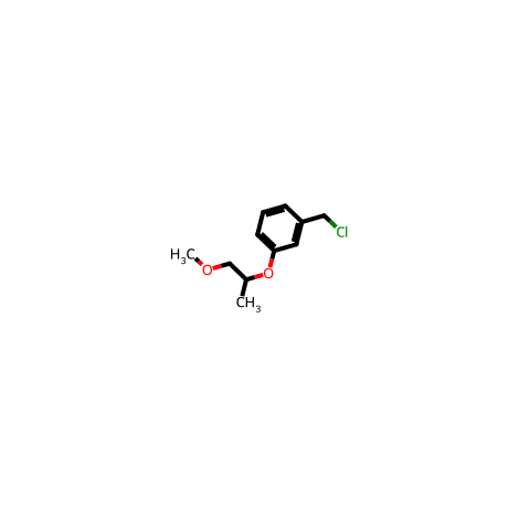 COCC(C)Oc1cccc(CCl)c1